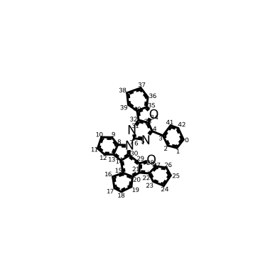 c1ccc(-c2nc(-n3c4ccccc4c4c5ccccc5c5c6ccccc6oc5c43)nc3c2oc2ccccc23)cc1